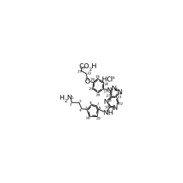 Cl.NCCCc1ccc(Nc2ncc3nnn(-c4ccc(OCCC(=O)O)cc4)c3n2)cc1